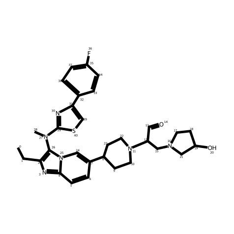 CCc1nc2ccc(C3CCN(C(C=O)CN4CCC(O)C4)CC3)cn2c1N(C)c1nc(-c2ccc(F)cc2)cs1